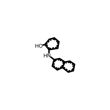 Oc1ccccc1Nc1ccc2ccccc2c1